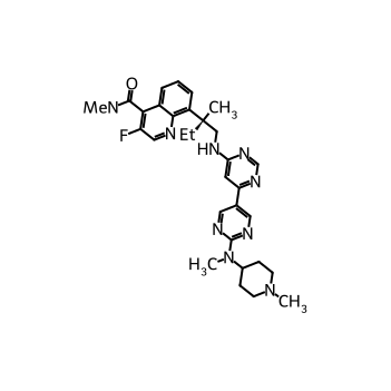 CC[C@@](C)(CNc1cc(-c2cnc(N(C)C3CCN(C)CC3)nc2)ncn1)c1cccc2c(C(=O)NC)c(F)cnc12